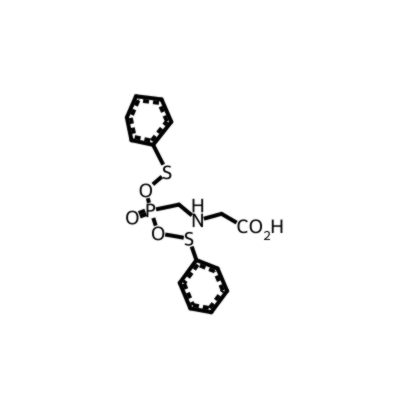 O=C(O)CNCP(=O)(OSc1ccccc1)OSc1ccccc1